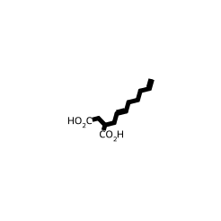 C=CCCC/C=C/CC(CC(=O)O)C(=O)O